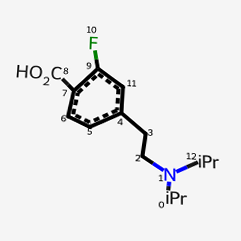 CC(C)N(CCc1ccc(C(=O)O)c(F)c1)C(C)C